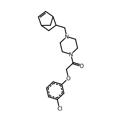 O=C(COc1cccc(Cl)c1)N1CCN(CC2CC3C=CC2C3)CC1